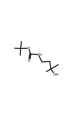 CC(C)(O)CCNC(=O)OC(C)(C)C